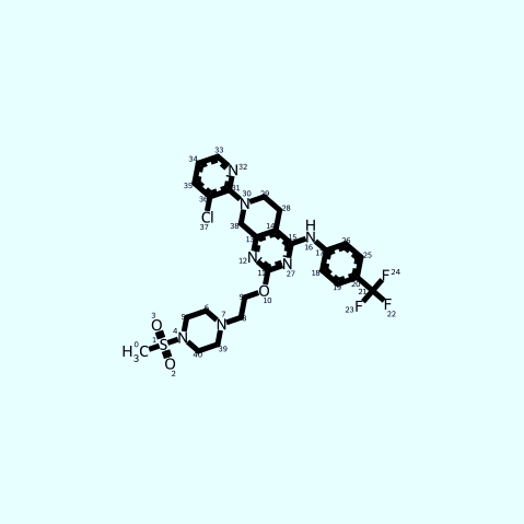 CS(=O)(=O)N1CCN(CCOc2nc3c(c(Nc4ccc(C(F)(F)F)cc4)n2)CCN(c2ncccc2Cl)C3)CC1